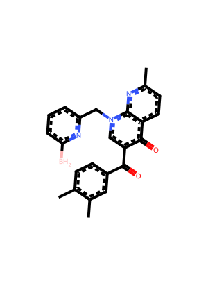 Bc1cccc(Cn2cc(C(=O)c3ccc(C)c(C)c3)c(=O)c3ccc(C)nc32)n1